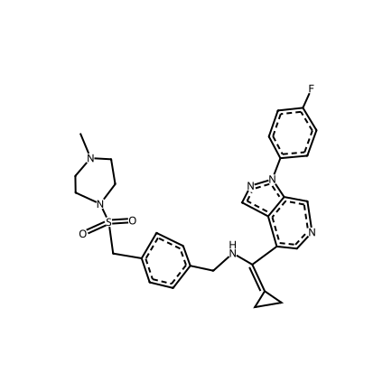 CN1CCN(S(=O)(=O)Cc2ccc(CNC(=C3CC3)c3cncc4c3cnn4-c3ccc(F)cc3)cc2)CC1